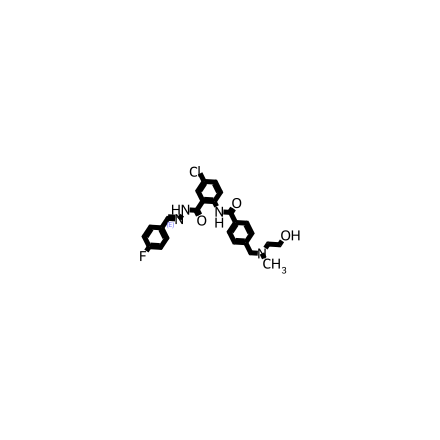 CN(CCO)Cc1ccc(C(=O)Nc2ccc(Cl)cc2C(=O)N/N=C/c2ccc(F)cc2)cc1